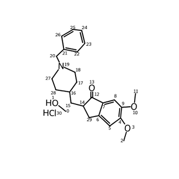 CO.COc1cc2c(cc1OC)C(=O)C(CC1CCN(Cc3ccccc3)CC1)C2.Cl